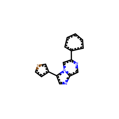 c1ccc(-c2cn3c(-c4ccsc4)cnc3cn2)cc1